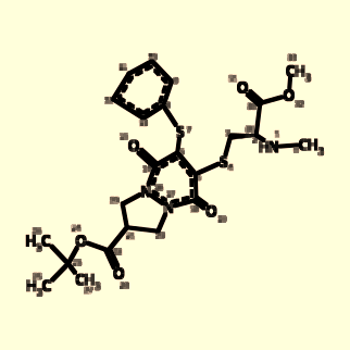 CN[C@@H](CSc1c(Sc2ccccc2)c(=O)n2n(c1=O)CC(C(=O)OC(C)(C)C)C2)C(=O)OC